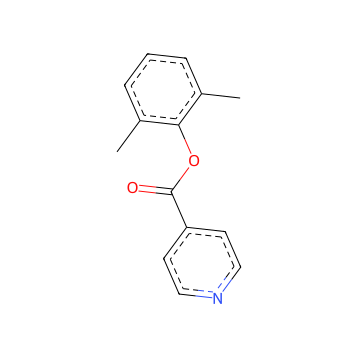 Cc1cccc(C)c1OC(=O)c1ccncc1